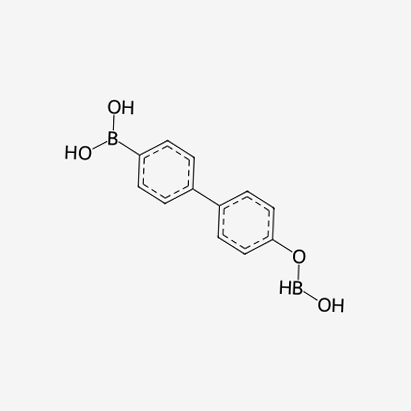 OBOc1ccc(-c2ccc(B(O)O)cc2)cc1